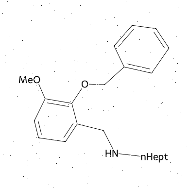 CCCCCCCNCc1cccc(OC)c1OCc1ccccc1